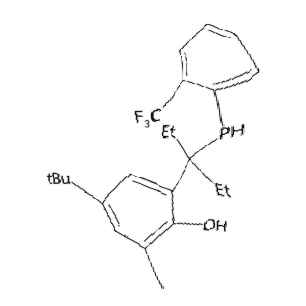 CCC(CC)(Pc1ccccc1C(F)(F)F)c1cc(C(C)(C)C)cc(C)c1O